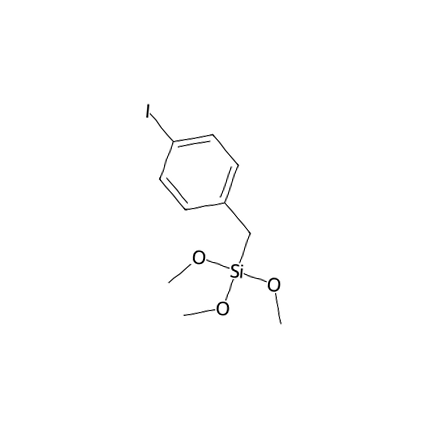 CO[Si](Cc1ccc(I)cc1)(OC)OC